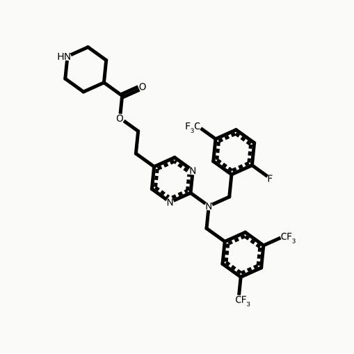 O=C(OCCc1cnc(N(Cc2cc(C(F)(F)F)cc(C(F)(F)F)c2)Cc2cc(C(F)(F)F)ccc2F)nc1)C1CCNCC1